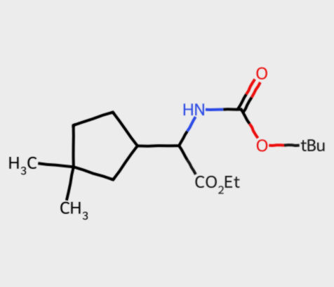 CCOC(=O)C(NC(=O)OC(C)(C)C)C1CCC(C)(C)C1